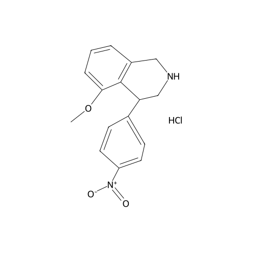 COc1cccc2c1C(c1ccc([N+](=O)[O-])cc1)CNC2.Cl